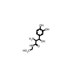 NC(C(=O)NCC(=O)O)C(O)c1ccc(O)c(O)c1